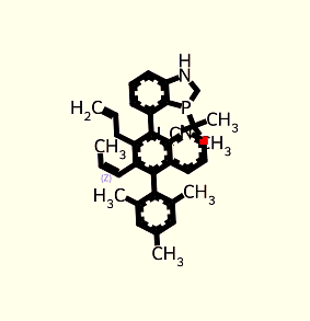 C=CCc1c(/C=C\C)c(-c2c(C)cc(C)cc2C)c2cccnc2c1-c1cccc2c1P(C(C)(C)C)CN2